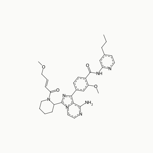 CCCc1ccnc(NC(=O)c2ccc(-c3nc(C4CCCCN4C(=O)C=CCOC)n4ccnc(N)c34)cc2OC)c1